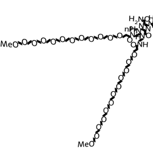 CCCNc1nc(C(=O)N(CCNC(=O)CCOCCOCCOCCOCCOCCOCCOCCOCCOCCOCCOCCOC)CCNC(=O)CCOCCOCCOCCOCCOCCOCCOCCOCCOCCOCCOCCOC)c(NCCC)nc1C(N)=O